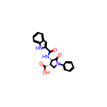 O=C(N[C@@H]1C(=O)N(c2ccccc2)C[C@@H]1C(=O)O)c1cc2ccccc2[nH]1